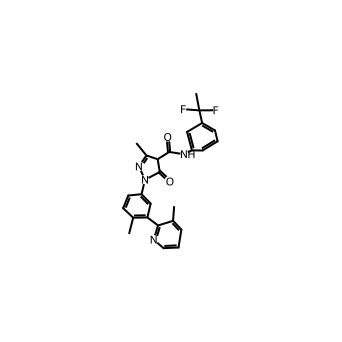 CC1=NN(c2ccc(C)c(-c3ncccc3C)c2)C(=O)C1C(=O)Nc1cccc(C(C)(F)F)c1